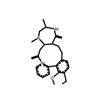 C=C1NC(C)CN(C)C2CC(=C)[n+]3ccccc3-c3c(ccc(CC)c3OC)CCC12